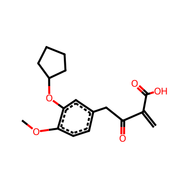 C=C(C(=O)O)C(=O)Cc1ccc(OC)c(OC2CCCC2)c1